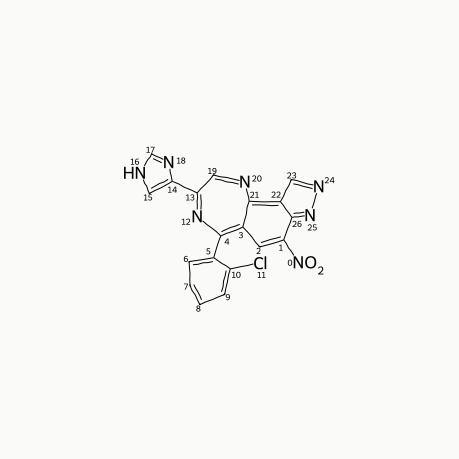 O=[N+]([O-])c1cc2c(-c3ccccc3Cl)nc(-c3c[nH]cn3)cnc2c2cnnc12